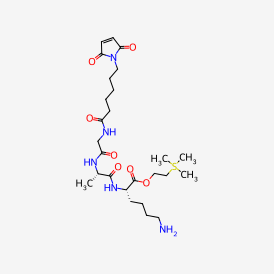 C[C@H](NC(=O)CNC(=O)CCCCCN1C(=O)C=CC1=O)C(=O)N[C@@H](CCCCN)C(=O)OCCS(C)(C)C